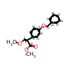 COC=C(C(=O)OC)c1ccc(OCc2ccccc2)cc1